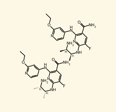 CCOc1cc(Nc2nc(N[C@@H](C)[C@@H](C)N)c(F)cc2C(N)=O)ccn1.CCOc1cc(Nc2nc(N[C@H](C)[C@H](C)N)c(F)cc2C(N)=O)ccn1